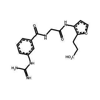 N=C(N)Nc1cccc(C(=O)NCC(=O)Nc2ccoc2CCC(=O)O)c1